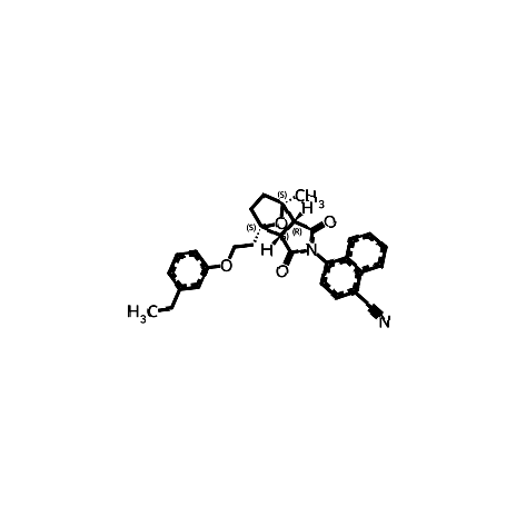 CCc1cccc(OCC[C@]23CC[C@](C)(O2)[C@@H]2C(=O)N(c4ccc(C#N)c5ccccc45)C(=O)[C@@H]23)c1